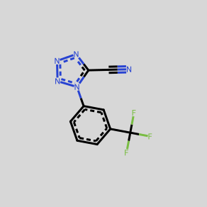 N#Cc1nnnn1-c1cccc(C(F)(F)F)c1